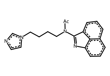 CC(=O)N(CCCCn1ccnc1)C1=Nc2cccc3cccc1c23